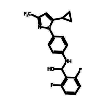 OC(Nc1ccc(-n2nc(C(F)(F)F)cc2C2CC2)cc1)c1c(F)cccc1F